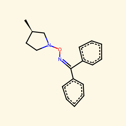 C[C@@H]1CCN(ON=C(c2ccccc2)c2ccccc2)C1